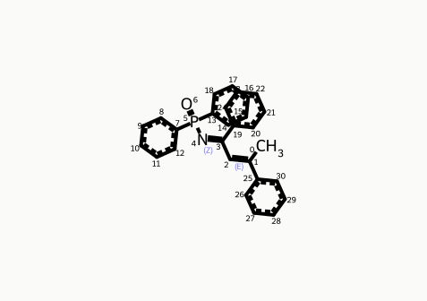 C/C(=C\C(=N\P(=O)(c1ccccc1)c1ccccc1)c1ccccc1)c1ccccc1